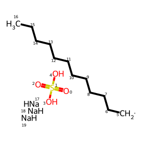 O=S(=O)(O)O.[CH2]CCCCCCCCCCC.[NaH].[NaH].[NaH]